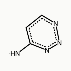 [NH]c1ccnnn1